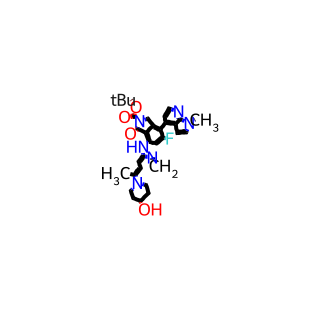 C=N/C(=C\C=C(/C)N1CCC(O)CC1)Nc1cc(F)c(-c2ccnc3c2ccn3C)c2c1C(=O)N(C(=O)OC(C)(C)C)C2